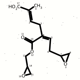 CC(=CCC(=CCC1CO1)C(=O)OCC1CO1)C(=O)O